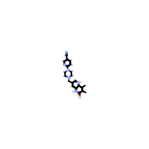 Cc1c(C)c2ncc(CN3CCN(c4ccc(C#N)cn4)CC3)cc2[nH]c1=O